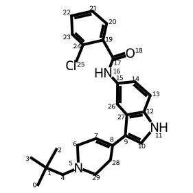 CC(C)(C)CN1CC=C(c2c[nH]c3ccc(NC(=O)c4ccccc4Cl)cc23)CC1